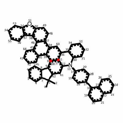 CC1(C)c2ccccc2-c2ccc(N(c3ccc(-c4cccc5ccccc45)cc3)c3ccccc3-c3ccc4c5ccccc5c5c(ccc6oc7ccccc7c65)c4c3)cc21